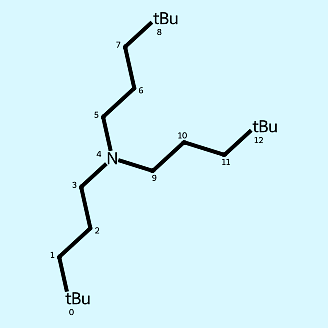 CC(C)(C)CCCN(CCCC(C)(C)C)CCCC(C)(C)C